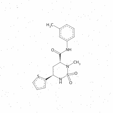 Cc1cccc(NC(=O)[C@@H]2C[C@H](c3cccs3)NS(=O)(=O)N2C)c1